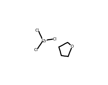 C1CCOC1.[Cl][3Zr]([Cl])[Cl]